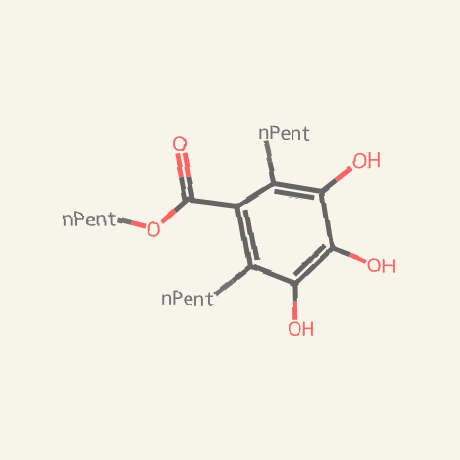 CCCCCOC(=O)c1c(CCCCC)c(O)c(O)c(O)c1CCCCC